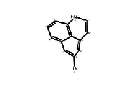 Brc1cc2c3c(cccc3c1)NC=C2